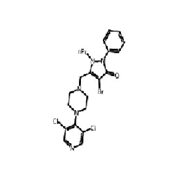 CCCn1c(CN2CCN(c3c(Cl)cncc3Cl)CC2)c(Br)c(=O)n1-c1ccccc1